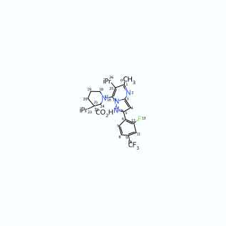 Cc1nc2cc(-c3ccc(C(F)(F)F)cc3F)nn2c(N2CCC[C@](C(=O)O)(C(C)C)C2)c1C(C)C